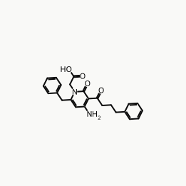 Nc1cc(Cc2ccccc2)n(CC(=O)O)c(=O)c1C(=O)CCCc1ccccc1